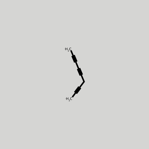 [CH2]C#CC#CCC#C[CH2]